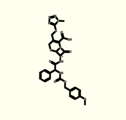 COc1ccc(COC(=O)NC(C(=O)N[C@@H]2C(=O)N3C(C(=O)O)=C(CSc4nnnn4C)CSC23)c2ccccc2)cc1